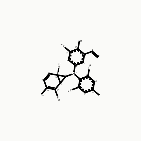 C=Cc1cc(N(c2c(F)cc(C)cc2F)C2C3C(F)=C(C)C=C[C@@H]32)cc(F)c1C